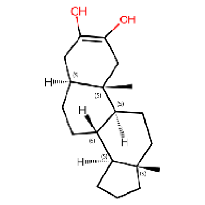 C[C@@]12CCC[C@H]1[C@@H]1CC[C@H]3CC(O)=C(O)C[C@]3(C)[C@H]1CC2